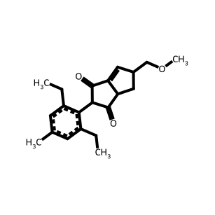 CCc1cc(C)cc(CC)c1C1C(=O)C2=CC(COC)CC2C1=O